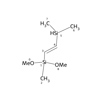 CO[Si](C)(C=C[SiH](C)C)OC